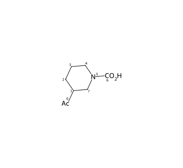 CC(=O)C1CCCN(C(=O)O)C1